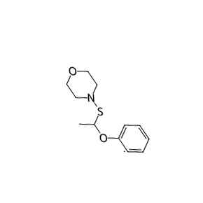 CC(Oc1[c]cccc1)SN1CCOCC1